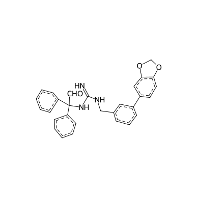 N=C(NCc1cccc(-c2ccc3c(c2)OCO3)c1)NC(C=O)(c1ccccc1)c1ccccc1